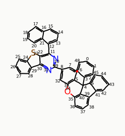 c1ccc(C23c4ccc(-c5nc(-c6cccc7ccccc67)c6sc7ccccc7c6n5)cc4Oc4cccc(c42)-c2ccccc23)cc1